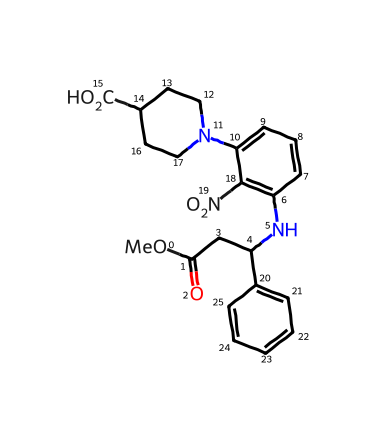 COC(=O)CC(Nc1cccc(N2CCC(C(=O)O)CC2)c1[N+](=O)[O-])c1ccccc1